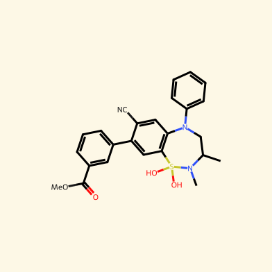 COC(=O)c1cccc(-c2cc3c(cc2C#N)N(c2ccccc2)CC(C)N(C)S3(O)O)c1